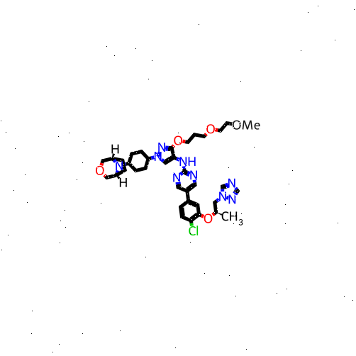 COCCOCCCOc1nn(C2CCC(N3[C@@H]4CC[C@H]3COC4)CC2)cc1Nc1ncc(-c2ccc(Cl)c(O[C@@H](C)Cn3cncn3)c2)cn1